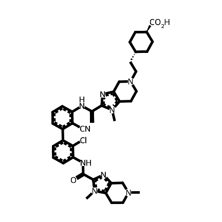 C=C(Nc1cccc(-c2cccc(NC(=O)c3nc4c(n3C)CCN(C)C4)c2Cl)c1C#N)c1nc2c(n1C)CCN(CC[C@H]1CC[C@H](C(=O)O)CC1)C2